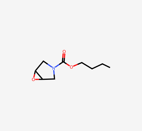 CCCCOC(=O)N1CC2OC2C1